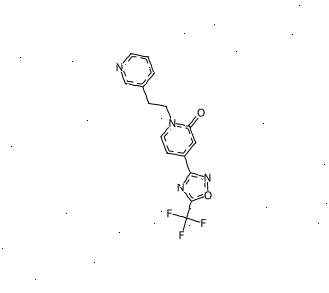 O=c1cc(-c2noc(C(F)(F)F)n2)ccn1CCc1cccnc1